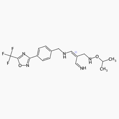 CC(C)ONC/C(C=N)=C/NCc1ccc(-c2noc(C(F)(F)F)n2)cc1